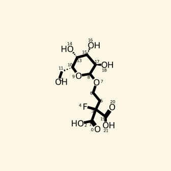 O=C(O)C(F)(CCOC1O[C@H](CO)[C@H](O)[C@H](O)[C@H]1O)C(=O)O